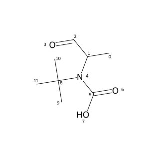 CC(C=O)N(C(=O)O)C(C)(C)C